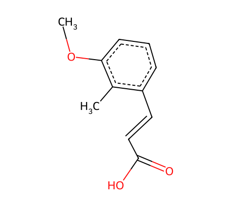 COc1cccc(C=CC(=O)O)c1C